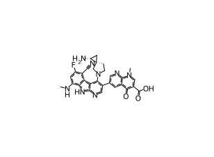 CNc1cc(F)c(C#N)c2c1[nH]c1ncc(-c3cnc4c(c3)c(=O)c(C(=O)O)cn4C)c(N3CC[C@]4(C[C@H]4N)C3)c12